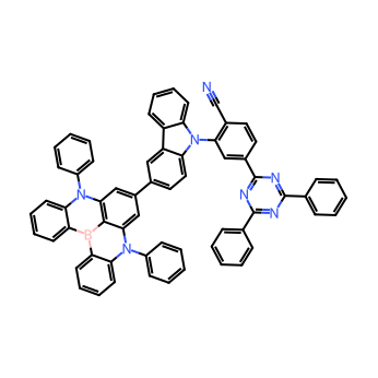 N#Cc1ccc(-c2nc(-c3ccccc3)nc(-c3ccccc3)n2)cc1-n1c2ccccc2c2cc(-c3cc4c5c(c3)N(c3ccccc3)c3ccccc3B5c3ccccc3N4c3ccccc3)ccc21